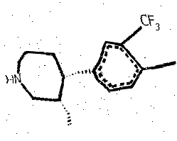 Cc1ccc([C@H]2CCNC[C@H]2C)cc1C(F)(F)F